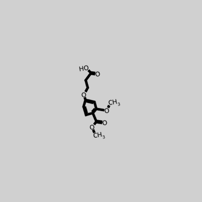 COC(=O)c1ccc(OCCC(=O)O)cc1OC